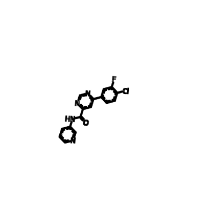 O=C(Nc1cccnc1)c1cc(-c2ccc(Cl)c(F)c2)ncn1